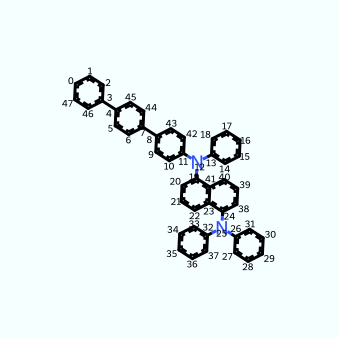 c1ccc(-c2ccc(-c3ccc(N(c4ccccc4)c4cccc5c(N(c6ccccc6)c6ccccc6)cccc45)cc3)cc2)cc1